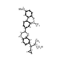 COc1ccc(F)c(-c2ccc(C3COc4ccc(C(C5CC5)[C@H](C)C(=O)O)cc4O3)cc2OC(F)(F)F)c1